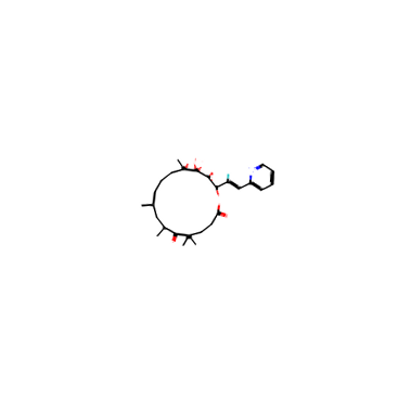 CC1CCCC2(C)OC2(O)C(O)C(C(F)=Cc2ccccn2)OC(=O)CCC(C)(C)C(=O)C(C)C1